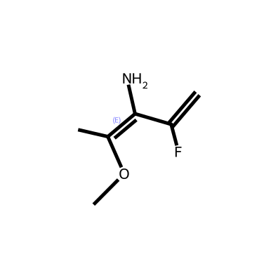 C=C(F)/C(N)=C(/C)OC